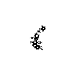 COc1ccc2ncc(CF)c([C@H](O)CCC3(C(=O)O)CCN(CCSC4CCCC4)CC3)c2c1